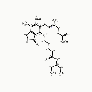 COC(=O)CC/C(C)=C/Cc1c(OC)c(C)c2c(c1OCCCCC(=O)OC(COC(C)=O)COC(C)=O)C(=O)OC2